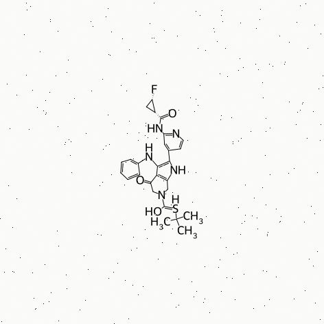 CC(C)(C)[SH]=C(O)N1CC(=O)c2c([nH]c(-c3ccnc(NC(=O)[C@@H]4C[C@@H]4F)c3)c2Nc2ccccc2)C1